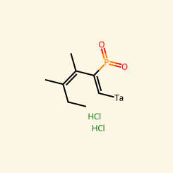 CCC(C)=C(C)C(=[CH][Ta])P(=O)=O.Cl.Cl